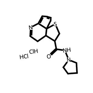 Cl.Cl.O=C(NN1CCCC1)C1CSC23CC=CC=C2N=CCC13